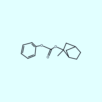 CC1(OC(=O)Oc2ccccc2)CC2CCC1C2